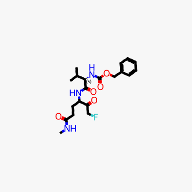 CNC(=O)CCC(NC(=O)[C@@H](NC(=O)OCc1ccccc1)C(C)C)C(=O)CF